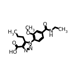 CCCc1c(C(=O)O)nnn1-c1ccc(C(=O)NCC)cc1OC